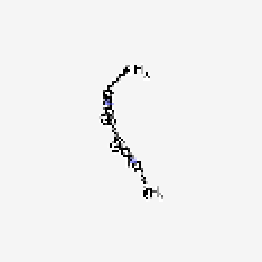 CCCCCCCCc1ccc(/N=C/c2ccc(C(=O)OCCCCCOC(=O)c3ccc(/C=N/c4ccc(CCCCCCCC)cc4)cc3)cc2)cc1